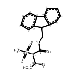 CC[C@@H](C(=O)O)N(C(=O)OCC1c2ccccc2-c2ccccc21)S(C)(=O)=O